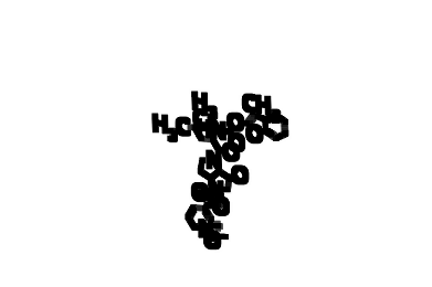 Cc1c(OC(=O)NC(CC(C)C)C(=O)N2CCC3C2C(=O)CN3S(=O)(=O)c2ccc[n+]([O-])c2)oc2ccccc12